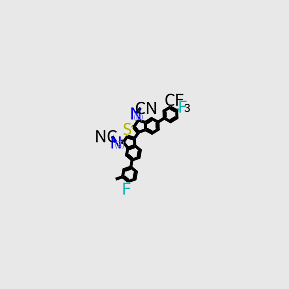 Cc1cc(-c2ccc3c(c2)/c(=N/C#N)c2sc4/c(=N/C#N)c5cc(-c6ccc(F)c(C(F)(F)F)c6)ccc5c4c23)ccc1F